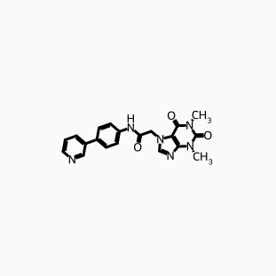 Cn1c(=O)c2c(ncn2CC(=O)Nc2ccc(-c3cccnc3)cc2)n(C)c1=O